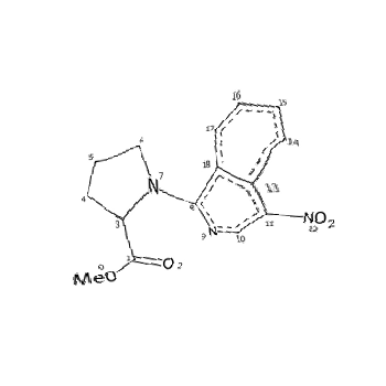 COC(=O)C1CCCN1c1ncc([N+](=O)[O-])c2ccccc12